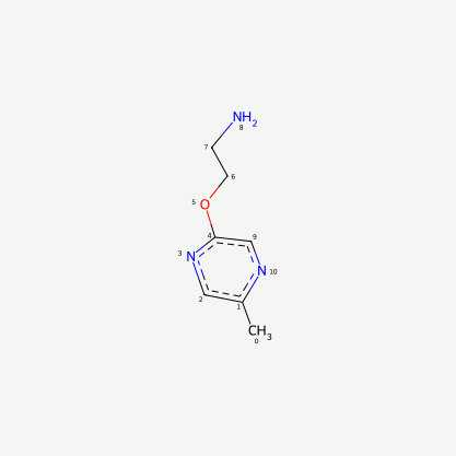 Cc1cnc(OCCN)cn1